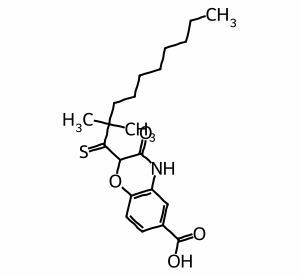 CCCCCCCCC(C)(C)C(=S)C1Oc2ccc(C(=O)O)cc2NC1=O